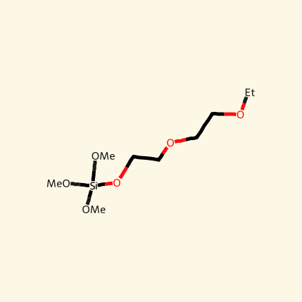 CCOCCOCCO[Si](OC)(OC)OC